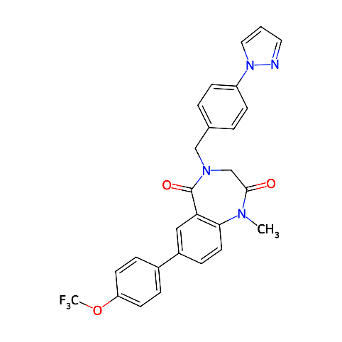 CN1C(=O)CN(Cc2ccc(-n3cccn3)cc2)C(=O)c2cc(-c3ccc(OC(F)(F)F)cc3)ccc21